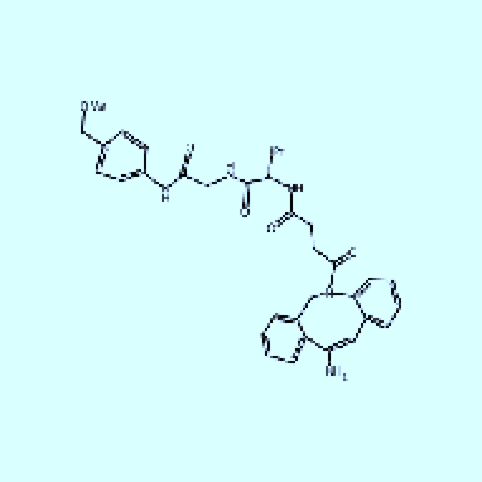 COCc1ccc(NC(=O)CNC(=O)C(NC(=O)CCC(=O)N2Cc3ccccc3/C(N)=C\c3ccccc32)C(C)C)cc1